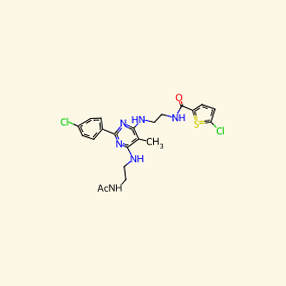 CC(=O)NCCNc1nc(-c2ccc(Cl)cc2)nc(NCCNC(=O)c2ccc(Cl)s2)c1C